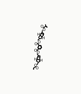 C=CC(=O)OCC1C[C@@H]2C3CC(COC(=O)c4cccc(C(=O)OCC5C[C@@H]6C7CC(CC7COC(=O)C(=C)C)[C@@H]6C5)c4)C(C3)[C@@H]2C1